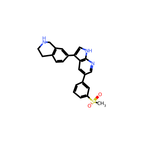 CS(=O)(=O)c1cccc(-c2cnc3[nH]cc(-c4ccc5c(c4)CNCC5)c3c2)c1